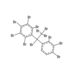 Brc1ccc(C(Br)(c2c(Br)c(Br)c(Br)c(Br)c2Br)C(Br)(Br)Br)c(Br)c1Br